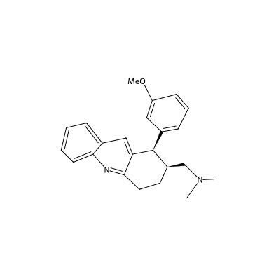 COc1cccc([C@@H]2c3cc4ccccc4nc3CC[C@@H]2CN(C)C)c1